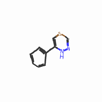 [C]1=NNC(c2ccccc2)=CS1